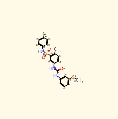 CSc1cccc(NC(=O)Nc2ccc(C)c(S(=O)(=O)Nc3ccc(Cl)cc3)c2)c1